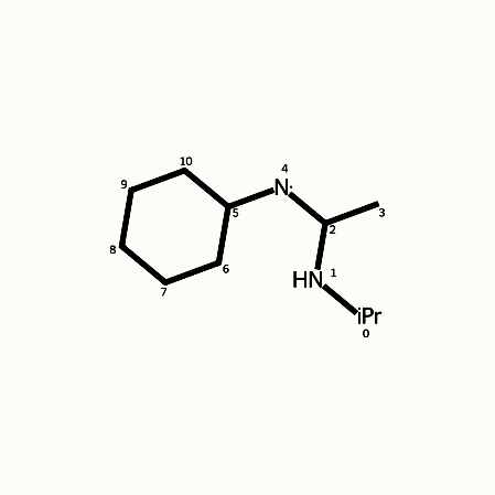 CC(C)NC(C)[N]C1CCCCC1